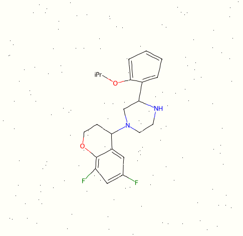 CC(C)Oc1ccccc1C1CN(C2CCOc3c(F)cc(F)cc32)CCN1